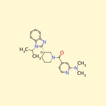 CC(C)n1c([C@H]2CCCN(C(=O)c3ccnc(N(C)C)c3)C2)nc2ccccc21